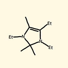 CCC1=C(C)N(CC)C(C)(C)N1CC